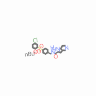 CCCCOc1ccc(Cl)cc1S(=O)(=O)c1ccc(CNC(=O)c2cc3cnccc3[nH]2)cc1